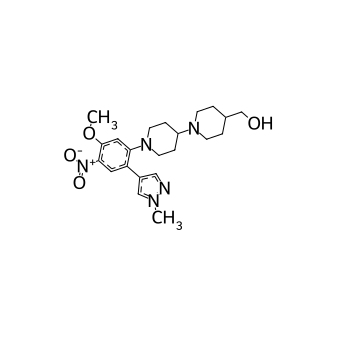 COc1cc(N2CCC(N3CCC(CO)CC3)CC2)c(-c2cnn(C)c2)cc1[N+](=O)[O-]